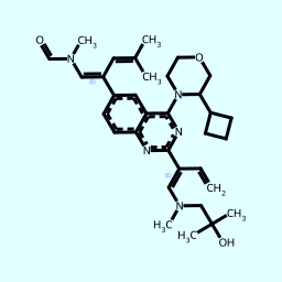 C=C/C(=C\N(C)CC(C)(C)O)c1nc(N2CCOCC2C2CCC2)c2cc(/C(C=C(C)C)=C/N(C)C=O)ccc2n1